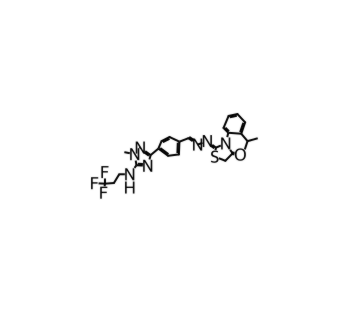 CC(C)c1ccccc1N1C(=O)CSC1=NN=Cc1ccc(-c2nc(NCCC(F)(F)F)n(C)n2)cc1